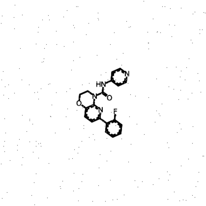 O=C(Nc1ccncc1)N1CCOc2ccc(-c3ccccc3F)nc21